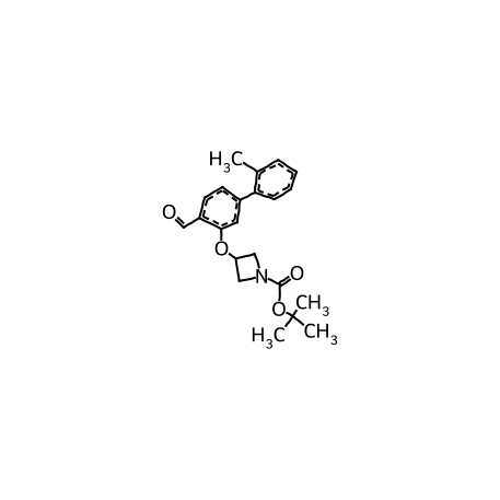 Cc1ccccc1-c1ccc(C=O)c(OC2CN(C(=O)OC(C)(C)C)C2)c1